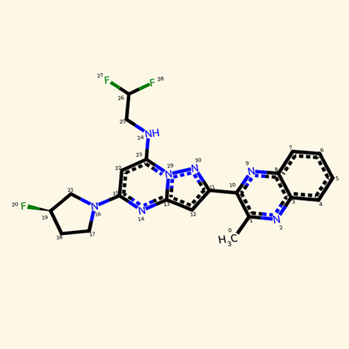 Cc1nc2ccccc2nc1-c1cc2nc(N3CC[C@@H](F)C3)cc(NCC(F)F)n2n1